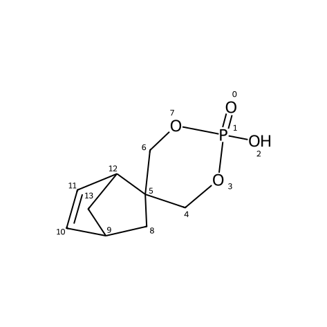 O=P1(O)OCC2(CO1)CC1C=CC2C1